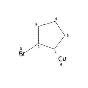 BrC1CCCC1.[Cu]